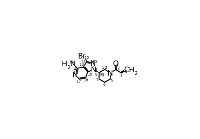 C=CC(=O)N1CCC[C@@H](n2nc(Br)c3c(N)nccc32)C1